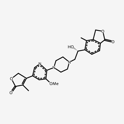 COc1cc(C2=C(C)C(=O)OC2)cnc1N1CCN(C[C@H](O)c2ccc3c(c2C)COC3=O)CC1